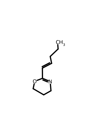 CCCC=CC1=NCCCO1